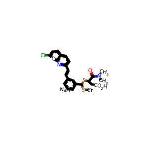 CCSC(SC(CC(=O)O)C(=O)N(C)C)c1cccc(C=Cc2ccc3ccc(Cl)cc3n2)c1.[NaH]